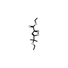 CCOC(=O)c1cc(C(C)(C)OCC)on1